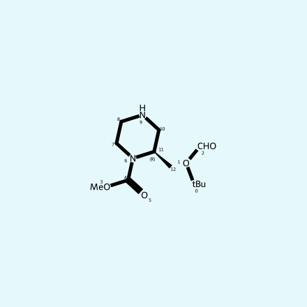 CC(C)(C)OC=O.COC(=O)N1CCNC[C@H]1C